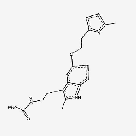 CNC(=O)NCCc1c(C)[nH]c2ccc(OCCn3ccc(C)n3)cc12